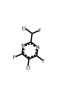 Fc1nc(C(F)Cl)nc(F)c1Cl